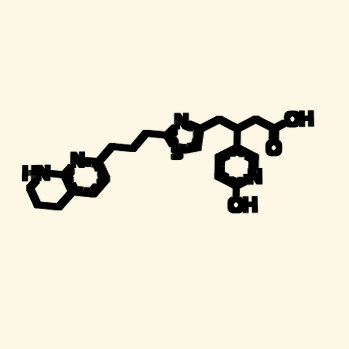 O=C(O)CC(Cc1csc(CCCc2ccc3c(n2)NCCC3)n1)c1ccc(O)nc1